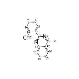 Cc1nc(-c2ccccc2Cl)nc2ccccc12